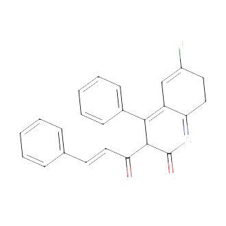 O=C(/C=C/c1ccccc1)C1C(=O)N=C2CCC(Cl)=CC2=C1c1ccccc1